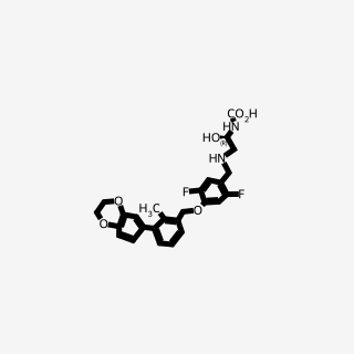 Cc1c(COc2cc(F)c(CNC[C@@H](O)NC(=O)O)cc2F)cccc1-c1ccc2c(c1)OCCO2